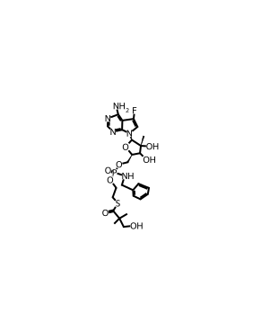 CC(C)(CO)C(=O)SCCOP(=O)(NCc1ccccc1)OC[C@H]1O[C@@H](n2cc(F)c3c(N)ncnc32)[C@](C)(O)C1O